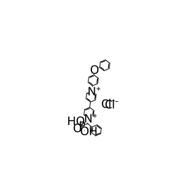 O=P(O)(O)C(c1ccccc1)[n+]1ccc(-c2cc[n+](-c3ccc(Oc4ccccc4)cc3)cc2)cc1.[Cl-].[Cl-]